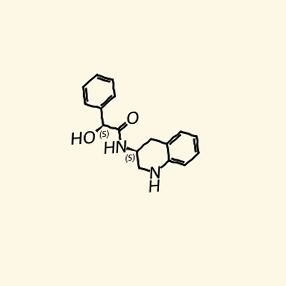 O=C(N[C@@H]1CNc2ccccc2C1)[C@@H](O)c1ccccc1